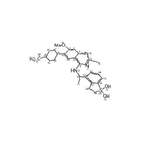 COc1cc2nc(C)nc(NC(C)c3cccc4c3CCS4(O)O)c2cc1C1CCC(C(=O)O)CC1